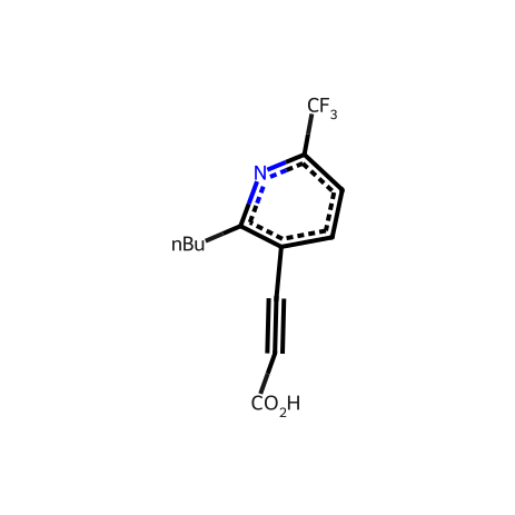 CCCCc1nc(C(F)(F)F)ccc1C#CC(=O)O